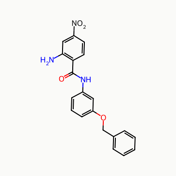 Nc1cc([N+](=O)[O-])ccc1C(=O)Nc1cccc(OCc2ccccc2)c1